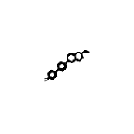 C=CC1CCC2CC(c3ccc(-c4ccc(F)cc4)cc3)CCC2C1